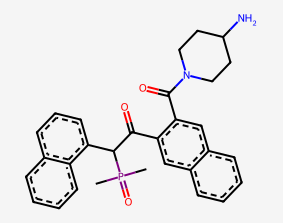 CP(C)(=O)C(C(=O)c1cc2ccccc2cc1C(=O)N1CCC(N)CC1)c1cccc2ccccc12